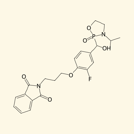 CC(C)N1CCOP1(=O)C(O)c1ccc(OCCCN2C(=O)c3ccccc3C2=O)c(F)c1